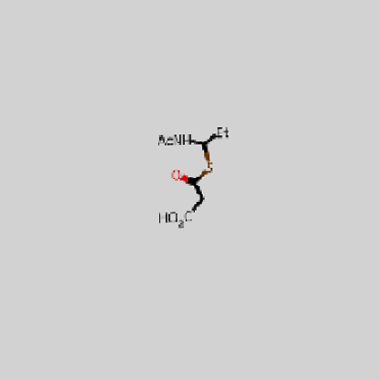 CCC(NC(C)=O)SC(=O)CC(=O)O